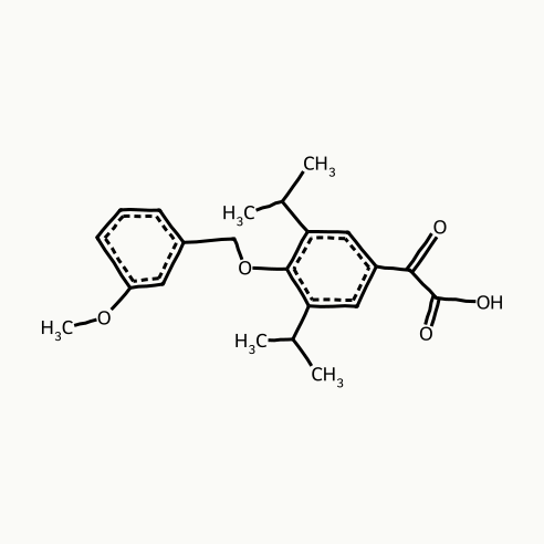 COc1cccc(COc2c(C(C)C)cc(C(=O)C(=O)O)cc2C(C)C)c1